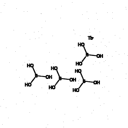 OB(O)O.OB(O)O.OB(O)O.OB(O)O.[Tb]